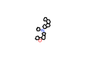 c1ccc(N(c2ccc3c(ccc4ccc5ccccc5c43)c2)c2ccc3ccc4oc5ccccc5c4c3c2)cc1